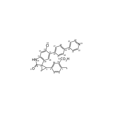 Cc1ccc(C2CC23C(=O)Nc2cc(Cl)c(-c4ccc(-c5ccncc5)cc4)cc23)cc1C(=O)O